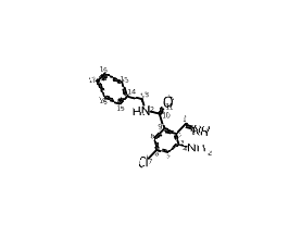 N=Cc1c(N)cc(Cl)cc1C(=O)NCc1ccccc1